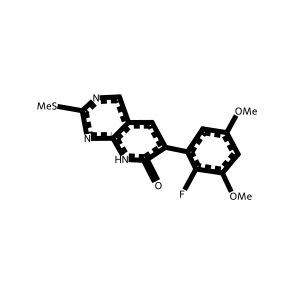 COc1cc(OC)c(F)c(-c2cc3cnc(SC)nc3[nH]c2=O)c1